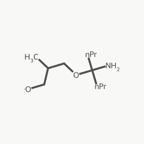 CCCC(N)(CCC)OCC(C)C[O]